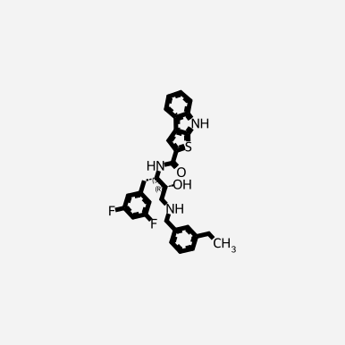 CCc1cccc(CNC[C@@H](O)[C@H](Cc2cc(F)cc(F)c2)NC(=O)c2cc3c([nH]c4ccccc43)s2)c1